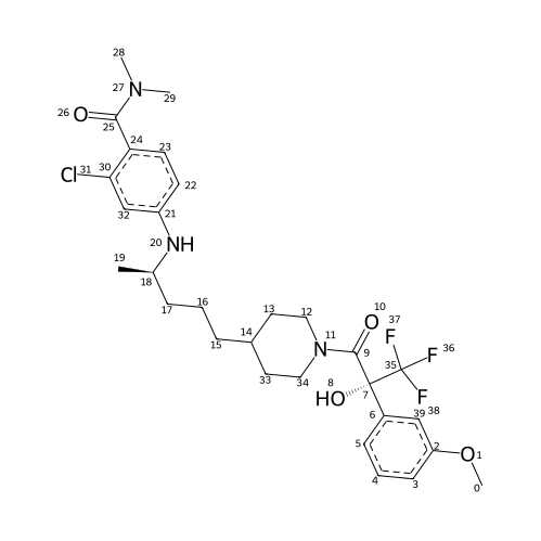 COc1cccc([C@@](O)(C(=O)N2CCC(CCC[C@@H](C)Nc3ccc(C(=O)N(C)C)c(Cl)c3)CC2)C(F)(F)F)c1